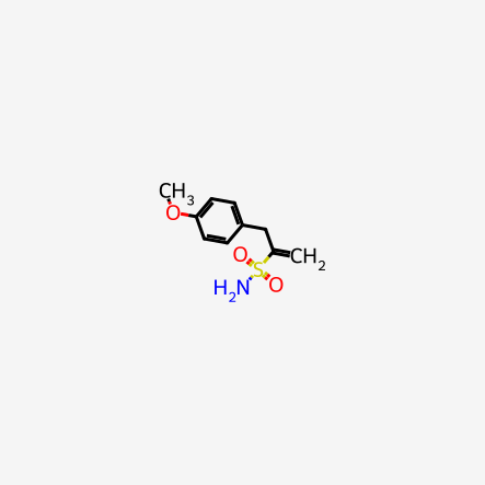 C=C(Cc1ccc(OC)cc1)S(N)(=O)=O